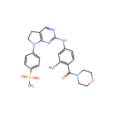 Cc1cc(Nc2ncc3c(n2)N(c2ccc(S(C)(=O)=O)cc2)CC3)ccc1C(=O)N1CCOCC1